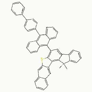 CC1(C)c2ccccc2-c2cc(-c3c4ccccc4c(-c4ccc(-c5ccccc5)cc4)c4ccccc34)c3sc4cc5ccccc5cc4c3c21